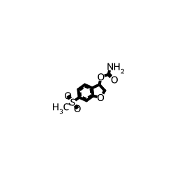 CS(=O)(=O)c1ccc2c(c1)OCC2OC(N)=O